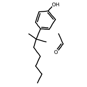 CC=O.CCCCCC(C)(C)c1ccc(O)cc1